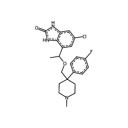 CC(OCC1(c2ccc(F)cc2)CCN(C)CC1)c1cc(Cl)cc2[nH]c(=O)[nH]c12